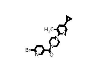 Cc1cc(C2CC2)cnc1N1CCN(C(=O)c2ccc(Br)nc2)CC1